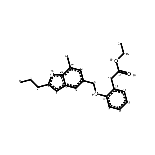 CCCc1cc2cc(COc3ccccc3CC(=O)OCC)cc(C)c2o1